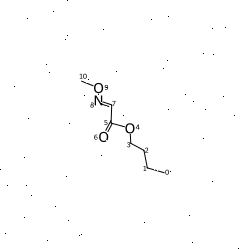 CCCCOC(=O)C=NOC